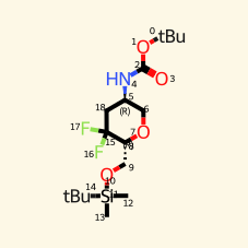 CC(C)(C)OC(=O)N[C@H]1CO[C@H](CO[Si](C)(C)C(C)(C)C)C(F)(F)C1